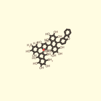 Bc1c(B)c(-c2c(B)c(B)c(-c3c4c(O)c(O)c(O)c(O)c4c(-c4ccc5oc6ccccc6c5c4)c4c(O)c(O)c(O)c(O)c34)c(O)c2O)c(-c2c(O)c(B)c3c(B)c(O)c(O)c(O)c3c2O)c(O)c1O